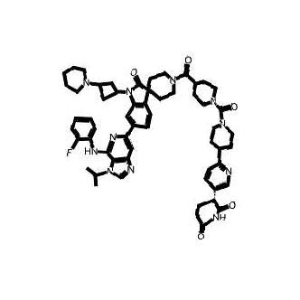 CC(C)n1cnc2cc(-c3ccc4c(c3)N(C3CC(N5CCCCC5)C3)C(=O)C43CCN(C(=O)C4CCN(C(=O)N5CCC(c6ccc([C@H]7CCC(=O)NC7=O)cn6)CC5)CC4)CC3)nc(Nc3ccccc3F)c21